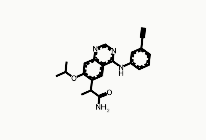 C#Cc1cccc(Nc2ncnc3cc(OC(C)C)c(C(C)C(N)=O)cc23)c1